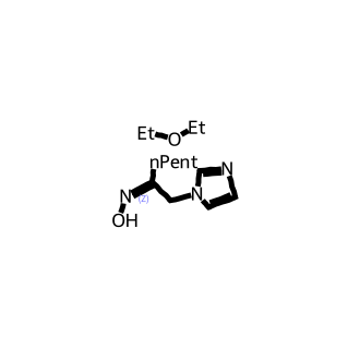 CCCCC/C(Cn1ccnc1)=N/O.CCOCC